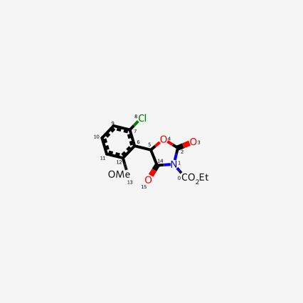 CCOC(=O)N1C(=O)OC(c2c(Cl)cccc2OC)C1=O